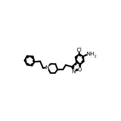 Nc1cc2onc(CCC3CCN(CCc4ccccc4)CC3)c2cc1Cl